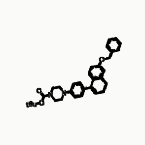 CC(C)(C)OC(=O)N1CCN(c2ccc(C3=CCCc4cc(OCc5ccccc5)ccc43)cc2)CC1